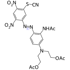 CC(=O)Nc1cc(N(CCOC(C)=O)CCOC(C)=O)ccc1/N=N/c1cc(SC#N)c([N+](=O)[O-])cc1[N+](=O)[O-]